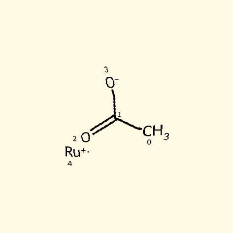 CC(=O)[O-].[Ru+]